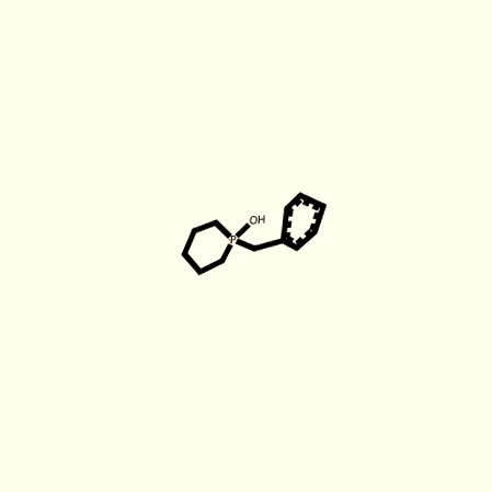 O[P]1(Cc2ccccc2)CCCCC1